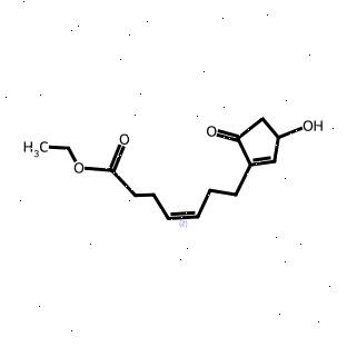 CCOC(=O)CC/C=C\CCC1=CC(O)CC1=O